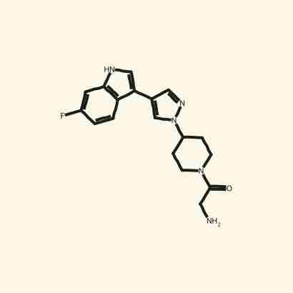 NCC(=O)N1CCC(n2cc(-c3c[nH]c4cc(F)ccc34)cn2)CC1